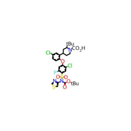 CC(C)(C)OC(=O)N(c1cscn1)S(=O)(=O)c1cc(Cl)c(Oc2ccc(Cl)cc2C2CCN(C(=O)O)C(C(C)(C)C)C2)cc1F